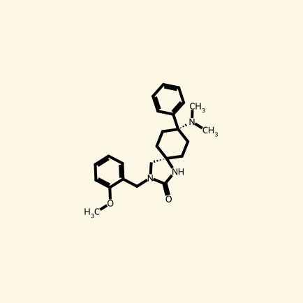 COc1ccccc1CN1C[C@]2(CC[C@@](c3ccccc3)(N(C)C)CC2)NC1=O